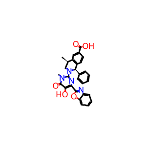 C[C@@H]1CN(c2nc(-c3nc4ccccc4o3)c(O)c(=O)n2C)[C@H](c2ccccc2)c2ccc(C(=O)O)cc21